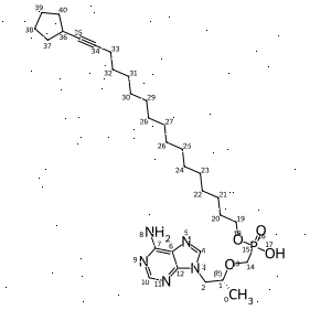 C[C@H](Cn1cnc2c(N)ncnc21)OCP(=O)(O)OCCCCCCCCCCCCCCCC#CC1CCCC1